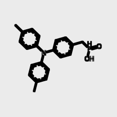 Cc1ccc(N(c2ccc(C)cc2)c2ccc(C[PH](=O)O)cc2)cc1